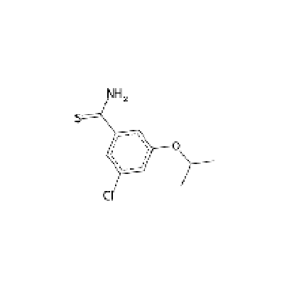 CC(C)Oc1cc(Cl)cc(C(N)=S)c1